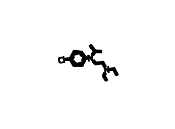 CCN(CC)CCN(c1ccc(Cl)cc1)C(C)C